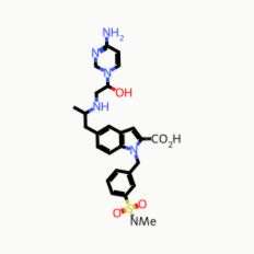 CNS(=O)(=O)c1cccc(Cn2c(C(=O)O)cc3cc(CC(C)NCC(O)N4C=CC(N)=NC4)ccc32)c1